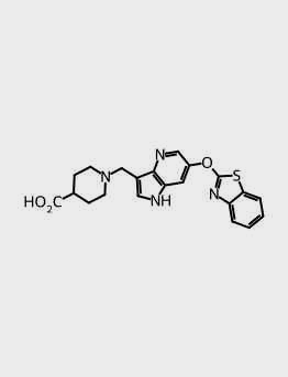 O=C(O)C1CCN(Cc2c[nH]c3cc(Oc4nc5ccccc5s4)cnc23)CC1